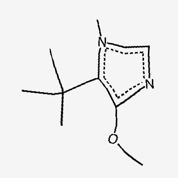 COc1ncn(C)c1C(C)(C)C